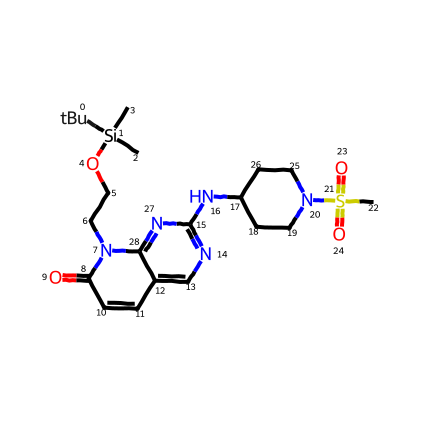 CC(C)(C)[Si](C)(C)OCCn1c(=O)ccc2cnc(NC3CCN(S(C)(=O)=O)CC3)nc21